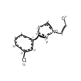 Cl/C=C\n1cnc(-c2cccc(Cl)c2)n1